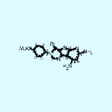 COc1ccc(-n2cnc3c(sc4nc(N)cc(N)c43)c2=O)cc1